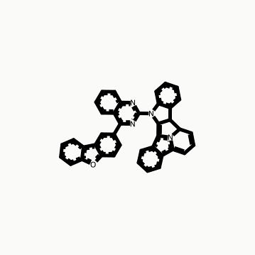 C1=CC2C3C(=c4c5ccccc5c(n42)=C1)N(c1nc(-c2ccc4oc5ccccc5c4c2)c2ccccc2n1)c1ccccc13